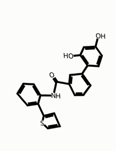 O=C(Nc1ccccc1-c1cccs1)c1cccc(-c2ccc(O)cc2O)c1